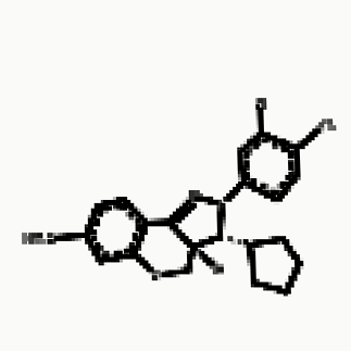 N#Cc1ccc(N2N=C3c4ccc(C(=O)O)cc4OC[C@H]3[C@H]2C2CCCC2)cc1Cl